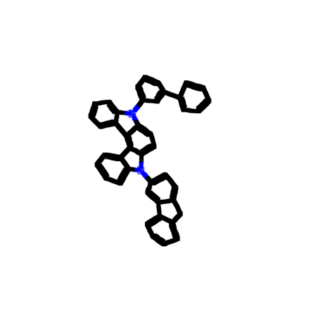 c1ccc(-c2cccc(-n3c4ccccc4c4c5c6ccccc6n(-c6ccc7c(c6)-c6ccccc6C7)c5ccc43)c2)cc1